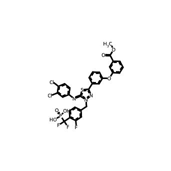 COC(=O)c1cccc(Oc2cccc(-c3nn(Cc4ccc(C(F)(F)P(=O)(O)O)c(F)c4)c(=Nc4ccc(Cl)c(Cl)c4)s3)c2)c1